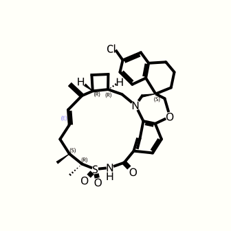 C=C1/C=C/C[C@H](C)[C@@H](C)S(=O)(=O)NC(=O)c2ccc3c(c2)N(C[C@@H]2CC[C@@H]12)C[C@@]1(CCCc2cc(Cl)ccc21)CO3